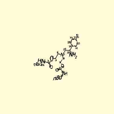 CCCCNC(=O)OCCN(CCOC(=O)NCCCC)CC(N)c1ccc(F)cc1